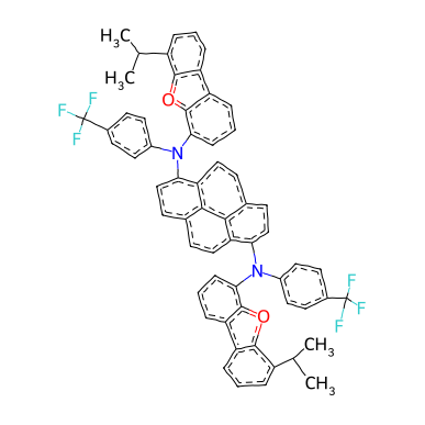 CC(C)c1cccc2c1oc1c(N(c3ccc(C(F)(F)F)cc3)c3ccc4ccc5c(N(c6ccc(C(F)(F)F)cc6)c6cccc7c6oc6c(C(C)C)cccc67)ccc6ccc3c4c65)cccc12